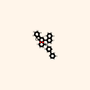 c1ccc(-c2ccc(N(c3ccccc3)c3ccc4ccccc4c3-c3ccc4oc5ccccc5c4c3)cc2)cc1